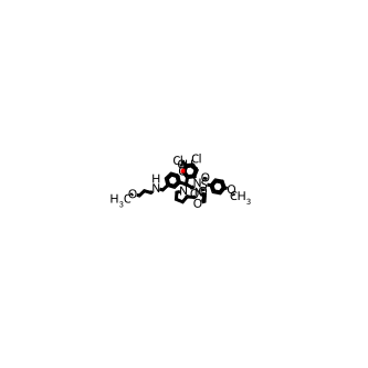 COCCCNCc1ccc(OC)c(C2(N3CCCC3c3ncco3)C(=O)N(S(=O)(=O)c3ccc(OC)cc3)c3cc(Cl)c(Cl)cc32)c1